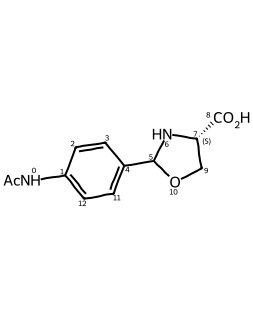 CC(=O)Nc1ccc(C2N[C@H](C(=O)O)CO2)cc1